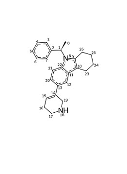 C[C@H](c1ccccc1)n1c2c(c3cc(C4=CCCNC4)ccc31)CCCC2